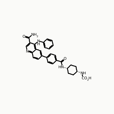 NC(=O)c1cnc2ccc(-c3ccc(C(=O)N[C@H]4CC[C@@H](NC(=O)O)CC4)cc3)cc2c1Nc1ccccc1